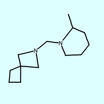 CC1CCCCN1CN1CC2(CCC2)C1